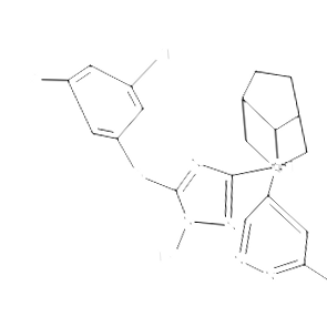 Cc1cc(Cl)cc(Oc2nc(NC3C4CCC3CN(c3cnnc(Cl)c3)C4)nn2C)c1